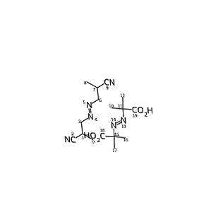 CC(C#N)CN=NCC(C)C#N.CC(C)(N=NC(C)(C)C(=O)O)C(=O)O